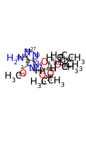 COCc1nn([C@@H]2O[C@H](CO[Si](C)(C)C(C)(C)C)[C@H]3OC(C)(C)O[C@H]32)c2ncnc(N)c12